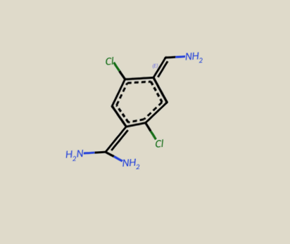 N/C=c1\cc(Cl)c(=C(N)N)cc1Cl